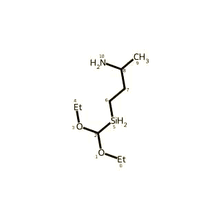 CCOC(OCC)[SiH2]CCC(C)N